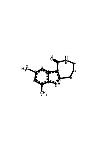 Cc1cc(C)c2[nH]c3c(c2c1)C(=O)NCCC3